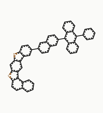 c1ccc(-c2c3ccccc3c(-c3ccc4cc(-c5ccc6sc7cc8sc9ccc%10ccccc%10c9c8cc7c6c5)ccc4c3)c3ccccc23)cc1